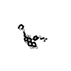 CN(C)CCOc1ccc([C@H]2C[C@@]3(C)[C@@H](CC[C@@]3(O)C=CCOC3CCCCO3)[C@@H]3CC[C@@]4(O)CC(=O)CCC4=C32)cc1